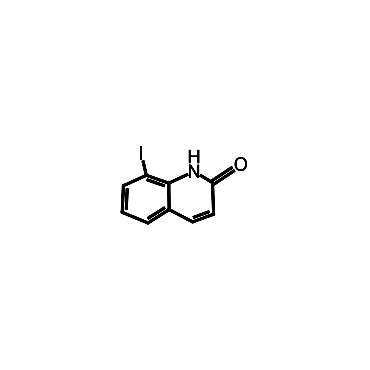 O=c1ccc2cccc(I)c2[nH]1